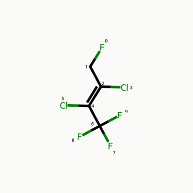 FCC(Cl)=C(Cl)C(F)(F)F